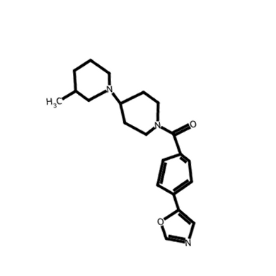 CC1CCCN(C2CCN(C(=O)c3ccc(-c4cnco4)cc3)CC2)C1